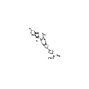 CCCCN(CCCC)c1ccc(-c2cc3cc(-c4nc5cc(F)ccc5o4)c(O)cc3o2)cc1